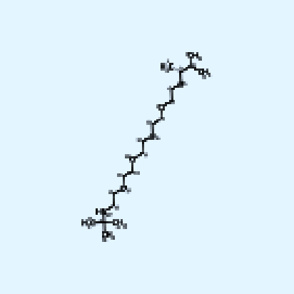 CC(C)[C@@H](C)OCCOCCOCCOCCOCCNC(C)(C)C